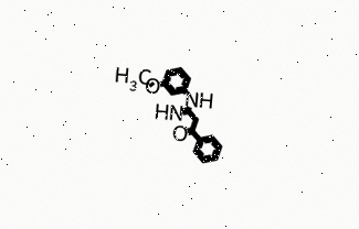 COc1cccc(NC(=N)CC(=O)c2ccccc2)c1